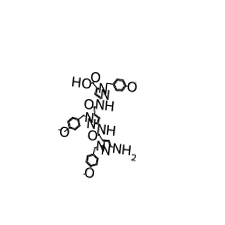 COc1ccc(Cn2nc(NC(=O)c3cc(NC(=O)c4cc(N)nn4Cc4ccc(OC)cc4)nn3Cc3ccc(OC)cc3)cc2C(=O)O)cc1